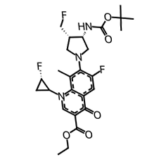 CCOC(=O)c1cn(C2C[C@@H]2F)c2c(C)c(N3C[C@H](CF)[C@H](NC(=O)OC(C)(C)C)C3)c(F)cc2c1=O